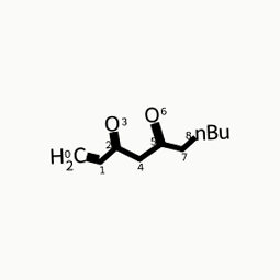 C=CC(=O)CC(=O)CCCCC